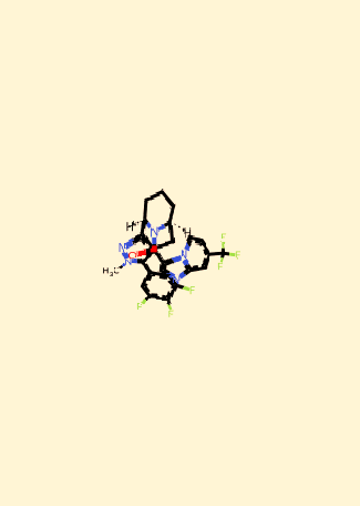 Cn1nc2c(c1-c1cc(F)c(F)c(F)c1)C[C@@H]1CCC[C@H]2N1C(=O)c1cnc2cc(C(F)(F)F)ccn12